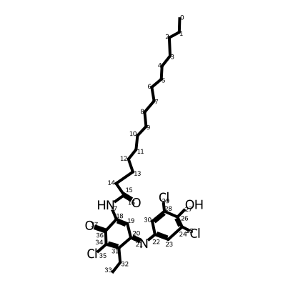 CCCCCCCCCCCCCCCC(=O)NC1=C/C(=N\c2cc(Cl)c(O)c(Cl)c2)C(CC)=C(Cl)C1=O